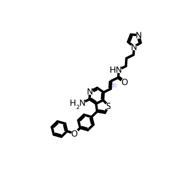 Nc1ncc(/C=C/C(=O)NCCCn2ccnc2)c2scc(-c3ccc(Oc4ccccc4)cc3)c12